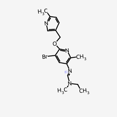 CCN(C)/C=N/c1cc(Br)c(OCc2ccc(C)nc2)nc1C